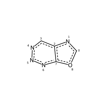 c1nc2cnnnc2o1